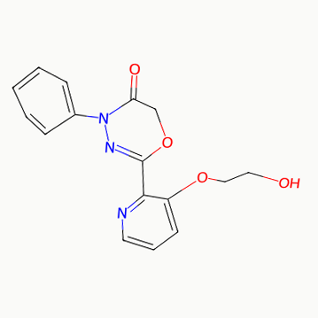 O=C1COC(c2ncccc2OCCO)=NN1c1ccccc1